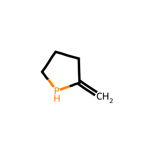 C=C1CCCP1